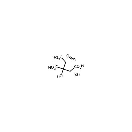 O=C(O)CC(O)(CC(=O)O)C(=O)O.[KH].[O]=[Ti]